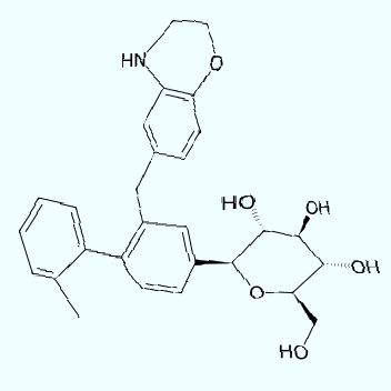 Cc1ccccc1-c1ccc([C@@H]2O[C@H](CO)[C@@H](O)[C@H](O)[C@H]2O)cc1Cc1ccc2c(c1)NCCO2